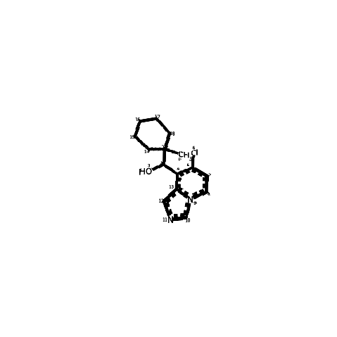 CC1(C(O)c2c(Cl)ccn3cncc23)CCCCC1